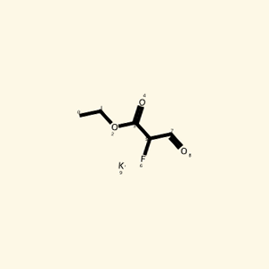 CCOC(=O)C(F)C=O.[K]